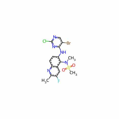 Cc1nc2ccc(Nc3nc(Cl)ncc3Br)c(N(C)S(C)(=O)=O)c2cc1F